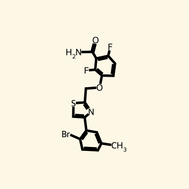 Cc1ccc(Br)c(-c2csc(COc3ccc(F)c(C(N)=O)c3F)n2)c1